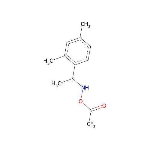 Cc1ccc(C(C)NOC(=O)C(F)(F)F)c(C)c1